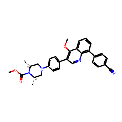 COC(=O)N1[C@H](C)CN(c2ccc(-c3cnc4c(-c5ccc(C#N)cc5)cccc4c3OC)cc2)C[C@@H]1C